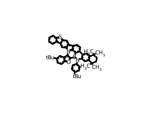 CC(C)(C)c1ccc(N2B3c4oc5ccc(C(C)(C)C)cc5c4-n4c5cc6c(cc5c5ccc(c3c54)-c3cc4c(cc32)C(C)(C)CCC4(C)C)sc2ccccc26)cc1